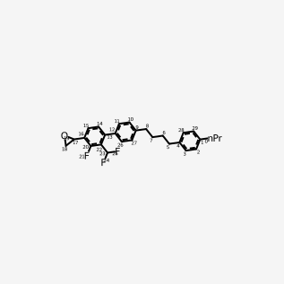 CCCc1ccc(CCCCc2ccc(-c3ccc(C4CO4)c(F)c3C(F)F)cc2)cc1